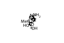 CO[C@@H]1C(O)[C@@H](CO)O[C@H]1n1ccc2c(N)ncnc21